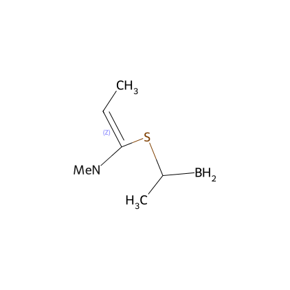 BC(C)S/C(=C\C)NC